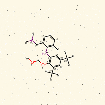 COCOc1c(Pc2c(C)cccc2CP(C)C)cc(C(C)(C)C)cc1C(C)(C)C